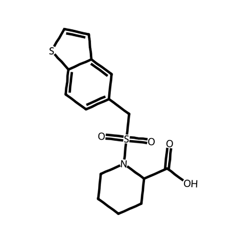 O=C(O)C1CCCCN1S(=O)(=O)Cc1ccc2sccc2c1